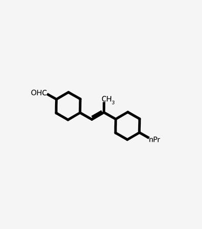 CCCC1CCC(C(C)=CC2CCC(C=O)CC2)CC1